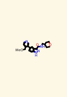 COCc1ccncc1-c1ccc2[nH]nc(C(=O)NCC3CCOCC3)c2c1